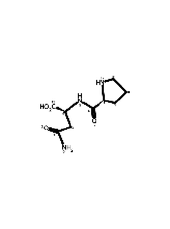 NC(=O)C[C@H](NC(=O)[C@@H]1CCCN1)C(=O)O